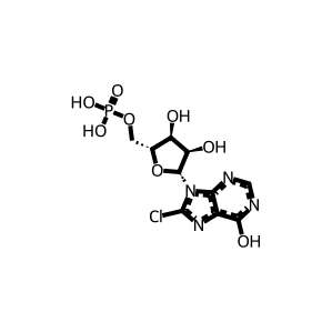 O=P(O)(O)OC[C@H]1O[C@@H](n2c(Cl)nc3c(O)ncnc32)[C@H](O)[C@@H]1O